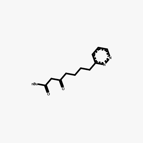 CCCCC(=O)CC(=O)CCCCc1cccnn1